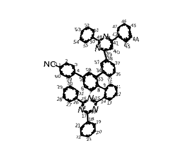 N#Cc1ccc(-c2ccc(-c3ccccc3-c3nc(-c4ccccc4)nc(-c4ccccc4)n3)c(-c3cccc(-c4cc(-c5ccccc5)nc(-c5ccccc5)n4)c3)c2)cc1